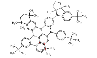 CC(C)(C)c1ccc(N2c3cc(N4c5ccc(C(C)(C)C)cc5C5(C)CCCC45C)ccc3B3c4cc5c(cc4N(c4ccc(C(C)(C)C)cc4-c4ccccc4)c4cc(C(C)(C)C)cc2c43)C(C)(C)CCC5(C)C)cc1